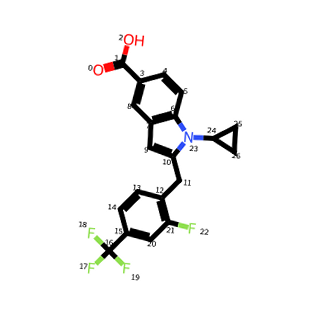 O=C(O)c1ccc2c(c1)cc(Cc1ccc(C(F)(F)F)cc1F)n2C1CC1